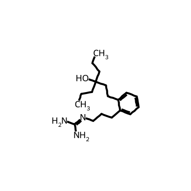 CCCC(O)(CCC)CCc1ccccc1CCCN=C(N)N